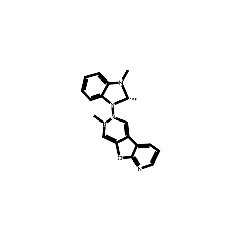 CB1C=c2oc3ncccc3c2=CN1N1c2ccccc2N(C)[C@@H]1C